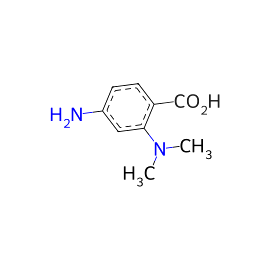 CN(C)c1cc(N)ccc1C(=O)O